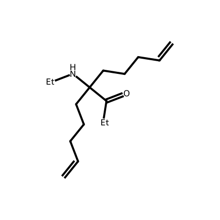 C=CCCCC(CCCC=C)(NCC)C(=O)CC